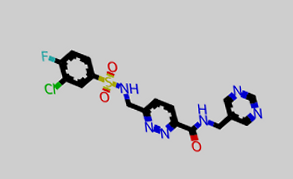 O=C(NCc1cncnc1)c1ccc(CNS(=O)(=O)c2ccc(F)c(Cl)c2)nn1